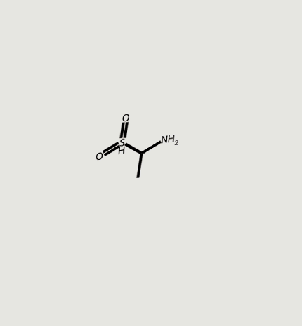 C[C](N)[SH](=O)=O